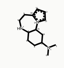 CN(C)C1CCC2NCCc3cccn3C2C1